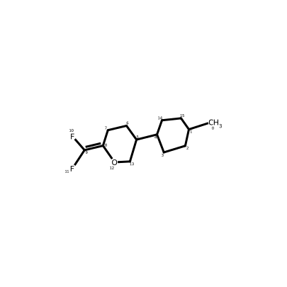 CC1CCC(C2CCC(=C(F)F)OC2)CC1